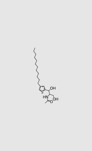 CCCCCCCCCCCCc1csc(C(O)C(CO)NC(C)=O)c1